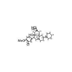 COc1ccc(C(CN2CCC(N3CCCCC3)CC2)C2(O)CCCCC2)cc1Cl.Cl.Cl